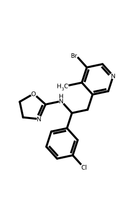 Cc1c(Br)cncc1CC(NC1=NCCO1)c1cccc(Cl)c1